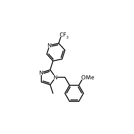 COc1ccccc1Cn1c(C)cnc1-c1ccc(C(F)(F)F)nc1